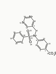 CCOC(=O)c1ccc(N(Cc2cncnc2)S(=O)(=O)c2ccccc2)cc1